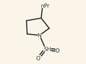 CCCC1CCN([SH](=O)=O)C1